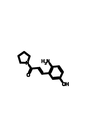 Nc1ccc(O)cc1C=CC(=O)N1CCCC1